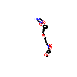 CC1(C)OCc2cc([C@@H]3CN(CCCCCCOCCC#Cc4cccc(S(=O)(=O)N5CCNCC5)c4)C(=O)O3)ccc2O1